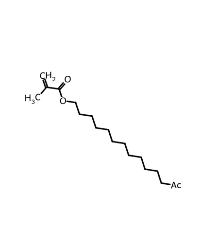 C=C(C)C(=O)OCCCCCCCCCCCCC(C)=O